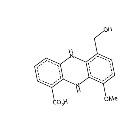 COc1ccc(CO)c2c1Nc1c(cccc1C(=O)O)N2